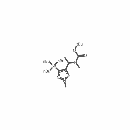 CCC[CH2][Sn]([CH2]CCC)([CH2]CCC)[c]1nn(C)nc1C(C)N(C)C(=O)OC(C)(C)C